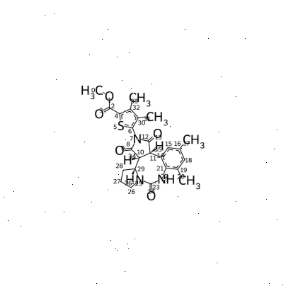 COC(=O)c1sc(N2C(=O)[C@@H]3[C@H](C2=O)c2cc(C)cc(C)c2NC(=O)N2CCC[C@H]32)c(C)c1C